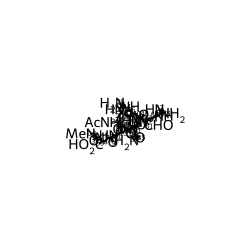 CNCC(=O)NC(CCC(=O)NCCCC(NC(=O)[C@H](CCCNC(=N)N)NC(C)=O)C(=O)N[C@@H](CCC(N)=O)C(=O)NC(Cc1ccccc1)C(=O)N[C@H](C=O)CCCNC(=N)N)C(=O)O